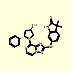 CC1(C)C(=O)Nc2cc(Nc3nc4c(N5C[C@H](O)C[C@H]5c5ccccc5)nccn4n3)ccc21